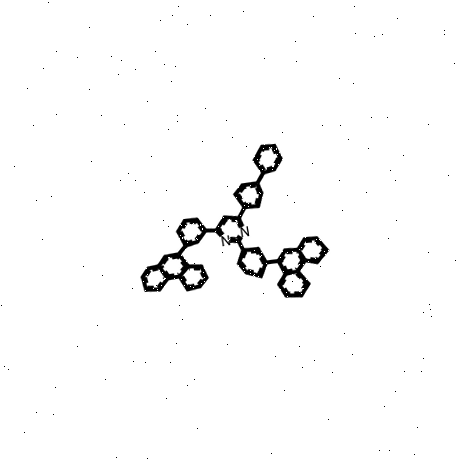 c1ccc(-c2ccc(-c3cc(-c4cccc(-c5cc6ccccc6c6ccccc56)c4)nc(-c4cccc(-c5cc6ccccc6c6ccccc56)c4)n3)cc2)cc1